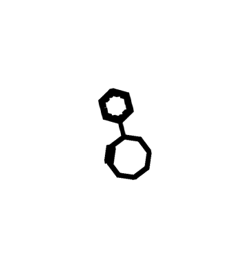 C1#CC(c2ccccc2)CCCCC1